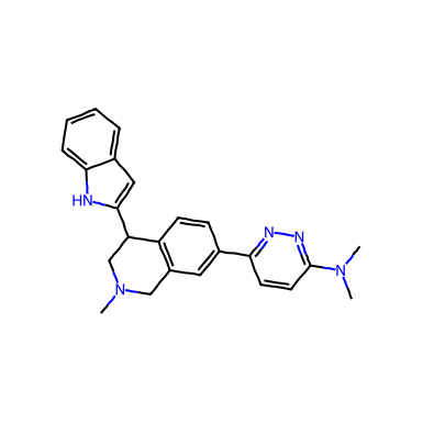 CN1Cc2cc(-c3ccc(N(C)C)nn3)ccc2C(c2cc3ccccc3[nH]2)C1